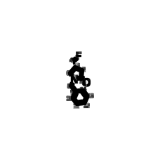 O=C1C[C@@H](CF)CN1Cc1ccccc1